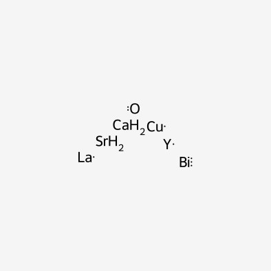 [Bi].[CaH2].[Cu].[La].[O].[SrH2].[Y]